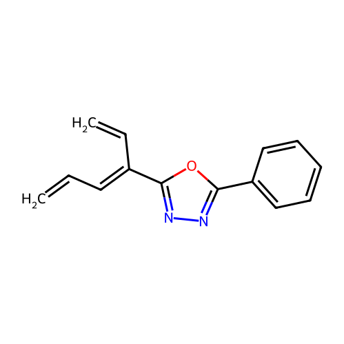 C=C/C=C(\C=C)c1nnc(-c2ccccc2)o1